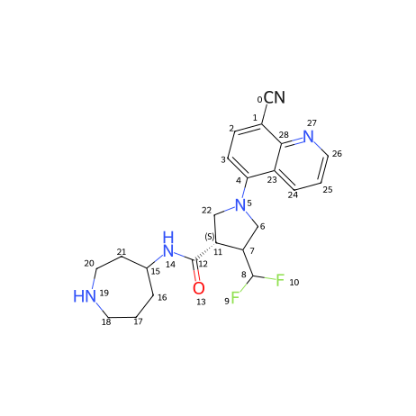 N#Cc1ccc(N2CC(C(F)F)[C@H](C(=O)NC3CCCNCC3)C2)c2cccnc12